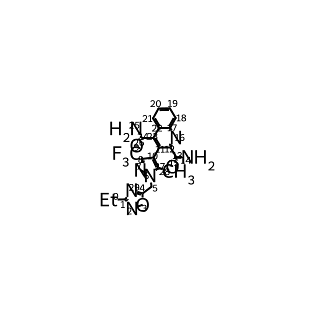 CCc1noc(Cn2nc(C(F)(F)F)c(-c3c(C(N)=O)nc4ccccc4c3C(N)=O)c2C)n1